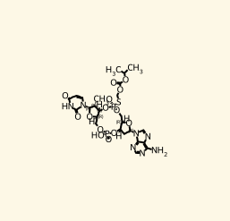 CC(C)OC(=O)OCSP1(=O)OC[C@H]2O[C@@H](n3cnc4c(N)ncnc43)C[C@@H]2OP(=O)(O)OC[C@H]2O[C@@H](n3ccc(=O)[nH]c3=O)[C@H](C)[C@@H]2O1